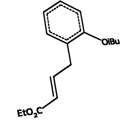 CCOC(=O)/C=C/Cc1ccccc1OCC(C)C